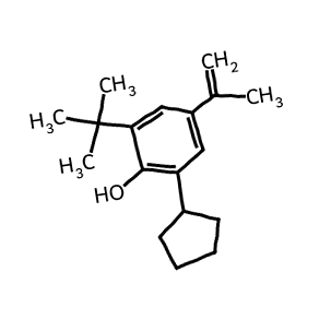 C=C(C)c1cc(C2CCCC2)c(O)c(C(C)(C)C)c1